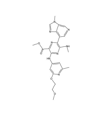 CNc1nc(Nc2cc(C)nc(OCCOC)c2)c(C(=O)OC)nc1-c1cncc2c1ncn2C